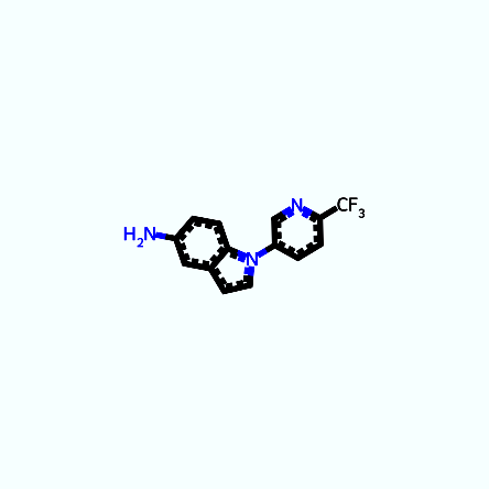 Nc1ccc2c(ccn2-c2ccc(C(F)(F)F)nc2)c1